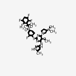 COc1c(Nc2cc(C)[nH]n2)nc(Sc2ccc(S(=O)(=O)C(C)(C)c3c(F)c(F)cc(F)c3F)cc2F)nc1N1CC[C@@H](N(C)C)C1